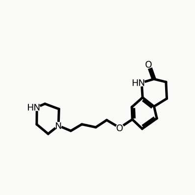 O=C1CCc2ccc(OCCCCN3CCNCC3)cc2N1